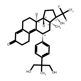 CC(CO)(CO)c1ccc([C@H]2C[C@@]3(C)[C@@H](CC[C@@]3(O)C(F)(F)C(F)(F)F)[C@@H]3CCC4=CC(=O)CCC4=C32)cc1